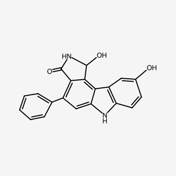 O=C1NC(O)c2c1c(-c1ccccc1)cc1[nH]c3ccc(O)cc3c21